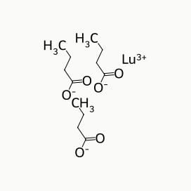 CCCC(=O)[O-].CCCC(=O)[O-].CCCC(=O)[O-].[Lu+3]